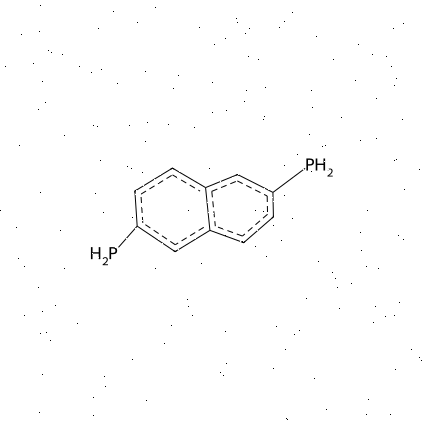 Pc1ccc2cc(P)ccc2c1